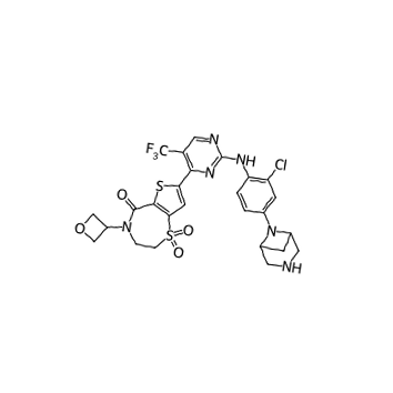 O=C1c2sc(-c3nc(Nc4ccc(N5C6CNCC5C6)cc4Cl)ncc3C(F)(F)F)cc2S(=O)(=O)CCN1C1COC1